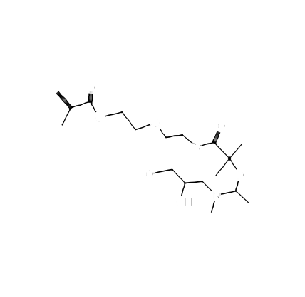 C=C(C)C(=O)OCCOCCNC(=O)C(C)(C)OC(C)N(C)CC(O)CO